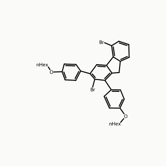 CCCCCCOc1ccc(-c2cc3c(c(-c4ccc(OCCCCCC)cc4)c2Br)Cc2cccc(Br)c2-3)cc1